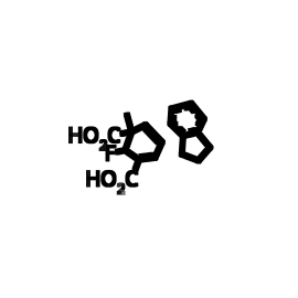 CC1(C(=O)O)C=CC=C(C(=O)O)C1F.c1ccc2c(c1)CCC2